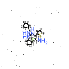 NCCCC(NCc1ccccc1)(NCc1cccs1)Nc1ccccc1F